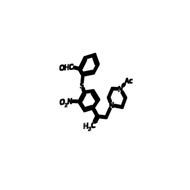 C=C(CN1CCN(C(C)=O)CC1)c1ccc(Sc2ccccc2C=O)c([N+](=O)[O-])c1